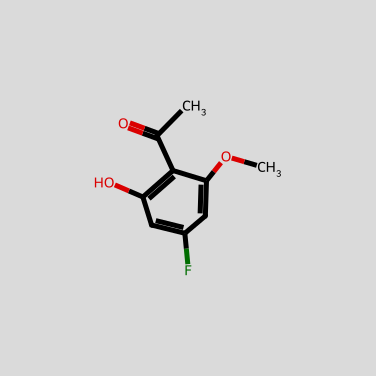 COc1cc(F)cc(O)c1C(C)=O